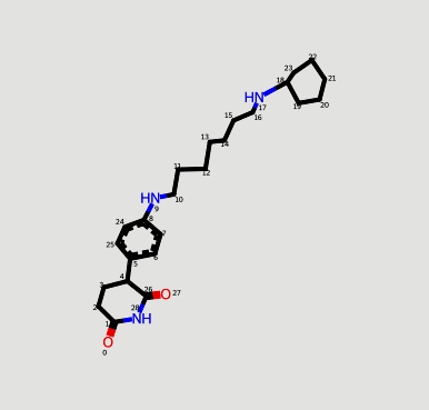 O=C1CCC(c2ccc(NCCCCCCCNC3CCCCC3)cc2)C(=O)N1